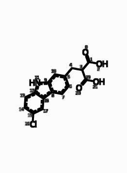 O=C(O)C(Cc1ccc2c(c1)[nH]c1ccc(Cl)cc12)C(=O)O